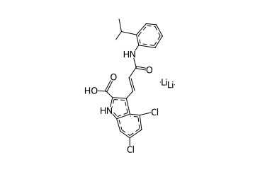 CC(C)c1ccccc1NC(=O)C=Cc1c(C(=O)O)[nH]c2cc(Cl)cc(Cl)c12.[Li].[Li]